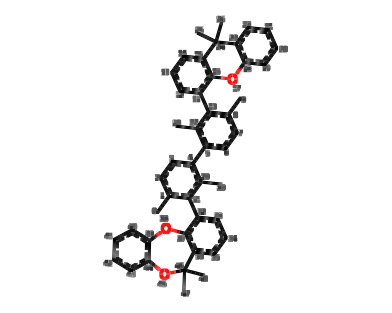 Cc1ccc(-c2ccc(C)c(-c3cccc4c3Oc3ccccc3C4(C)C)c2C)c(C)c1-c1cccc2c1Oc1ccccc1OC2(C)C